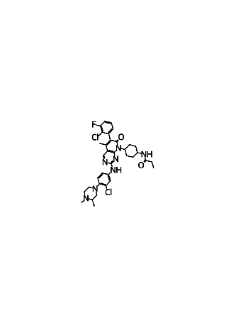 CCC(=O)NC1CCC(n2c(=O)c(-c3cccc(F)c3Cl)c(C)c3cnc(Nc4ccc(N5CCN(C)[C@H](C)C5)c(Cl)c4)nc32)CC1